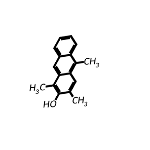 Cc1cc2c(C)c3ccccc3cc2c(C)c1O